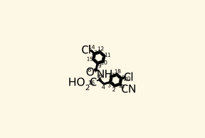 N#Cc1cc(C[C@H](NC(=O)c2cccc(Cl)c2)C(=O)O)ccc1Cl